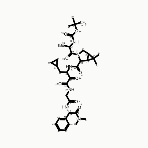 CN(C)C(=O)[C@@H](NC(=O)CNC(=O)C(=O)C(CC1CC1)NC(=O)C1C2C(CN1C(=O)C(NC(=O)OC(C)(C)C(F)(F)F)C(C)(C)C)C2(C)C)c1ccccc1